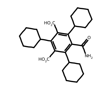 NC(=O)c1c(C2CCCCC2)c(C(=O)O)c(C2CCCCC2)c(C(=O)O)c1C1CCCCC1